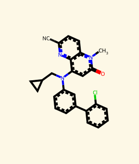 Cn1c(=O)cc(N(CC2CC2)c2cccc(-c3ccccc3Cl)c2)c2nc(C#N)ccc21